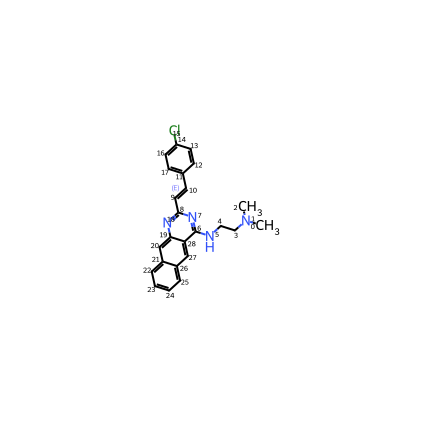 CN(C)CCNc1nc(/C=C/c2ccc(Cl)cc2)nc2cc3ccccc3cc12